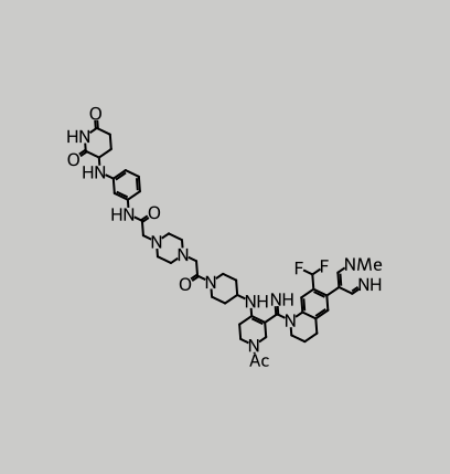 CN/C=C(\C=N)c1cc2c(cc1C(F)F)N(C(=N)C1=C(NC3CCN(C(=O)CN4CCN(CC(=O)Nc5cccc(NC6CCC(=O)NC6=O)c5)CC4)CC3)CCN(C(C)=O)C1)CCC2